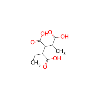 CCC(C(=O)O)C(C(=O)O)C(C)C(=O)O